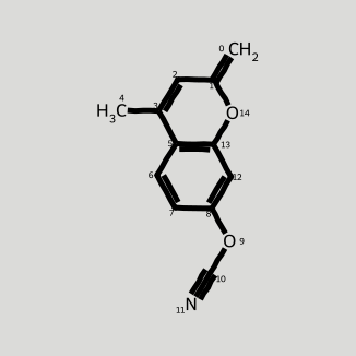 C=C1C=C(C)c2ccc(OC#N)cc2O1